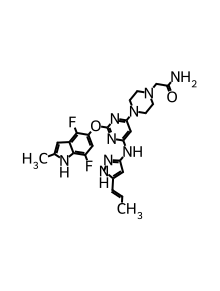 C/C=C/c1cc(Nc2cc(N3CCN(CC(N)=O)CC3)nc(Oc3cc(F)c4[nH]c(C)cc4c3F)n2)n[nH]1